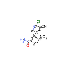 N#Cc1cc(-c2cc(C(N)=O)ccc2[N+](=O)[O-])cnc1Cl